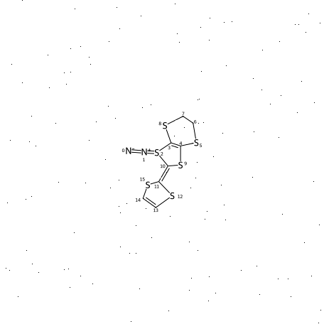 [N-]=[N+]=S1C2=C(SCCS2)SC1=C1SC=CS1